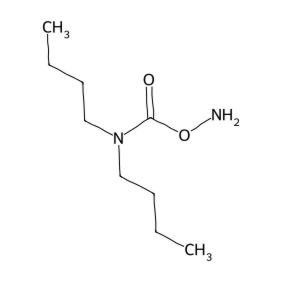 CCCCN(CCCC)C(=O)ON